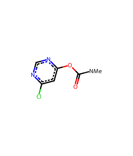 CNC(=O)Oc1cc(Cl)ncn1